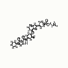 CN(C)CCOC(=O)N1CC=C(c2cc3nccc(Oc4ccc(NC(=O)N5CCN(c6ccccc6)C5=O)cc4F)c3s2)CC1